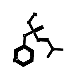 CCOP(=S)(N=CN(C)C)Oc1cccnc1